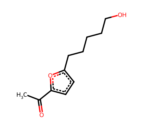 CC(=O)c1ccc(CCCCCO)o1